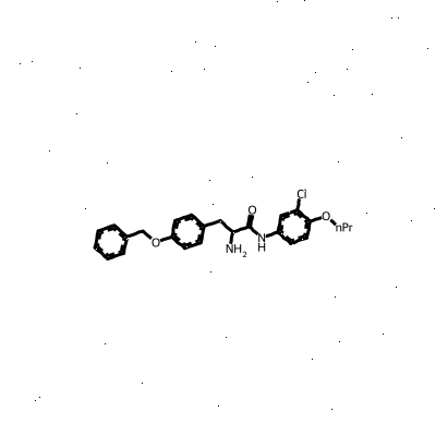 CCCOc1ccc(NC(=O)C(N)Cc2ccc(OCc3ccccc3)cc2)cc1Cl